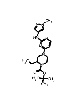 CCC1CN(c2ccnc(Nc3cnn(C)c3)n2)CCN1C(=O)OC(C)(C)C